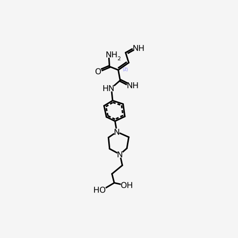 N=C/C=C(/C(=N)Nc1ccc(N2CCN(CCC(O)O)CC2)cc1)C(N)=O